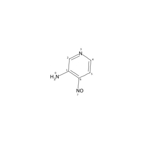 Nc1cnccc1N=O